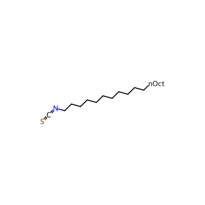 CCCCCCCCCCCCCCCCCCCN=C=S